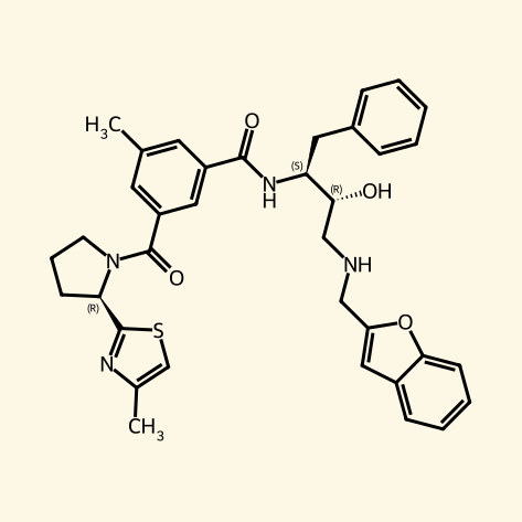 Cc1cc(C(=O)N[C@@H](Cc2ccccc2)[C@H](O)CNCc2cc3ccccc3o2)cc(C(=O)N2CCC[C@@H]2c2nc(C)cs2)c1